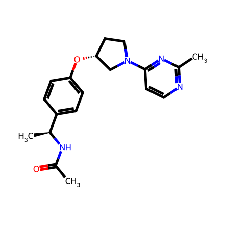 CC(=O)N[C@@H](C)c1ccc(O[C@@H]2CCN(c3ccnc(C)n3)C2)cc1